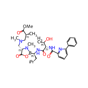 COC(=O)[C@@H](C)CN(C)C[C@H]1C(=O)OB([C@H](CC(C)C)NC(=O)[C@@H](NC(=O)c2cccc(-c3ccccc3)n2)[C@@H](C)O)N1C